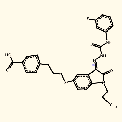 CCCN1C(=O)/C(=N\NC(=O)Nc2cccc(F)c2)c2cc(SCCCc3ccc(C(=O)O)cc3)ccc21